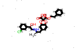 C[C@H](Cc1ccc2c(c1)OC(C(=O)O)(C(=O)OCCc1ccccc1)O2)NC[C@H](O)c1cccc(Cl)c1